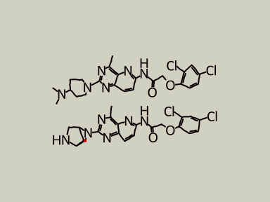 Cc1nc(N2CC3CC2CN3)nc2ccc(NC(=O)COc3ccc(Cl)cc3Cl)nc12.Cc1nc(N2CCC(N(C)C)CC2)nc2ccc(NC(=O)COc3ccc(Cl)cc3Cl)nc12